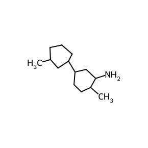 CC1CCCC(C2CCC(C)C(N)C2)C1